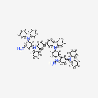 Nc1cc(-n2c3ccccc3c3ccccc32)cc(-n2c3ccccc3c3cc(-c4ccc5c6ccccc6n(-c6ccc7c(c6)c6cc(-n8c9ccccc9c9ccccc98)ccc6n7N)c5c4)ccc32)c1